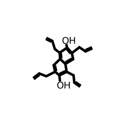 C=CCc1cc2c(CC=C)c(O)c(CC=C)cc2c(CC=C)c1O